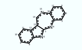 c1ccc2nc3nc4ccccc4c-3cnc2c1